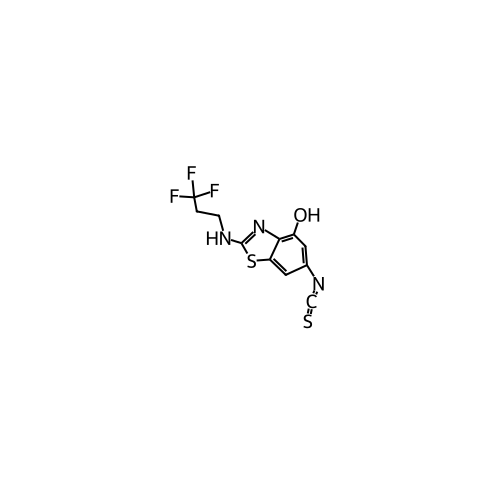 Oc1cc(N=C=S)cc2sc(NCCC(F)(F)F)nc12